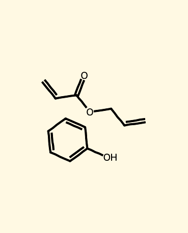 C=CCOC(=O)C=C.Oc1ccccc1